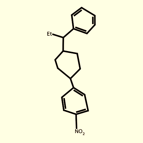 [CH2]CC(c1ccccc1)C1CCC(c2ccc([N+](=O)[O-])cc2)CC1